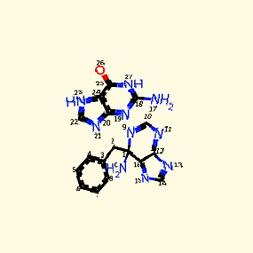 NC1(Cc2ccccc2)N=CN=C2N=CN=C21.Nc1nc2nc[nH]c2c(=O)[nH]1